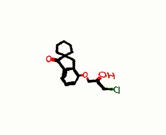 O=C1c2cccc(OCC(O)CCl)c2CC12CCCCC2